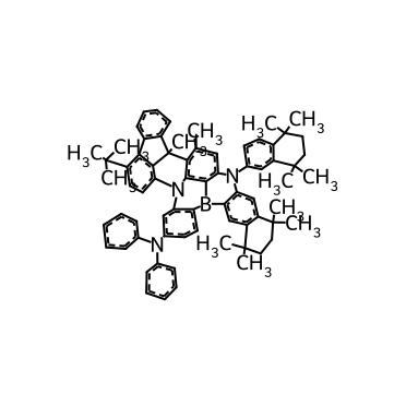 Cc1cc2c3c4c1C1(C)c5ccccc5-c5c(C(C)(C)C)ccc(c51)N4c1cc(N(c4ccccc4)c4ccccc4)ccc1B3c1cc3c(cc1N2c1ccc2c(c1)C(C)(C)CCC2(C)C)C(C)(C)CCC3(C)C